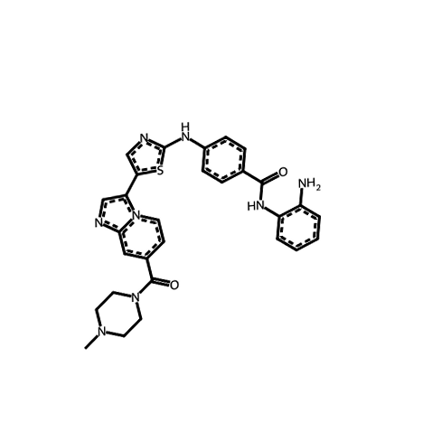 CN1CCN(C(=O)c2ccn3c(-c4cnc(Nc5ccc(C(=O)Nc6ccccc6N)cc5)s4)cnc3c2)CC1